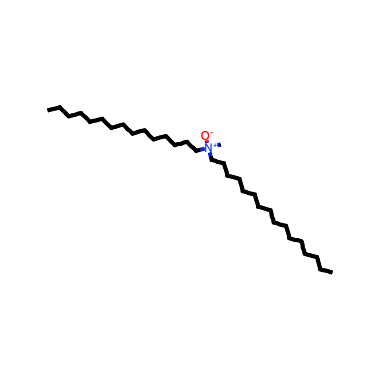 CCCCCCCCCCCCCCCC[N+](C)([O-])CCCCCCCCCCCCCCC